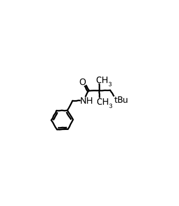 CC(C)(C)CC(C)(C)C(=O)NCc1ccccc1